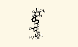 C[C@@H]1CNc2c(oc3ccc4nc(Oc5cc(Cl)nc(NCC(C)(C)O)n5)ccc4c23)C(=O)N1